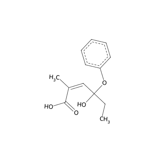 CCC(O)(C=C(C)C(=O)O)Oc1ccccc1